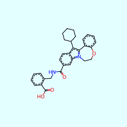 O=C(NCc1ccccc1C(=O)O)c1ccc2c(C3CCCCC3)c3n(c2c1)CCOc1ccccc1-3